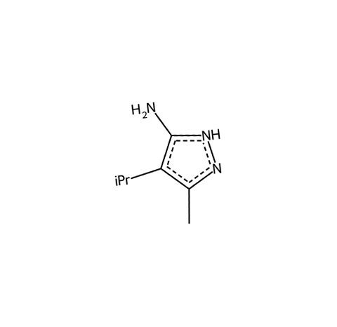 Cc1n[nH]c(N)c1C(C)C